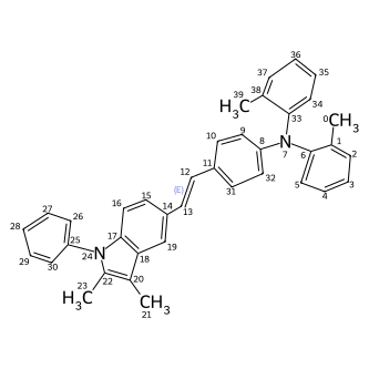 Cc1ccccc1N(c1ccc(/C=C/c2ccc3c(c2)c(C)c(C)n3-c2ccccc2)cc1)c1ccccc1C